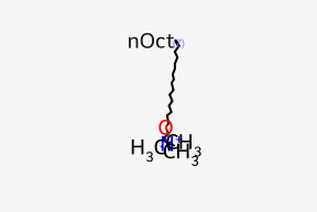 CCCCCCCC/C=C\CCCCCCCCCCCCCCOCC[N+](C)(C)C